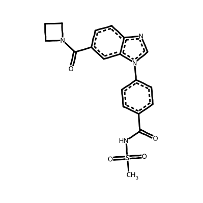 CS(=O)(=O)NC(=O)c1ccc(-n2cnc3ccc(C(=O)N4CCC4)cc32)cc1